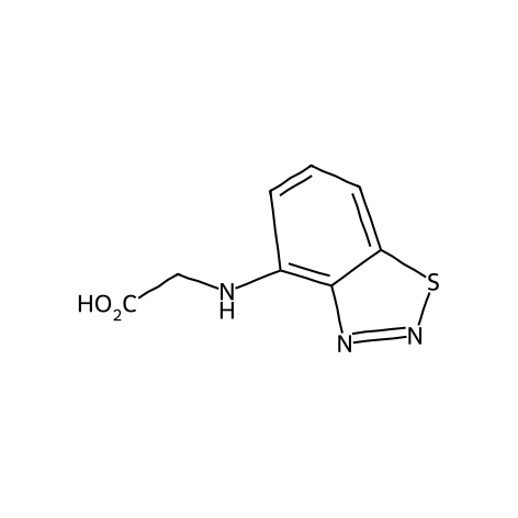 O=C(O)CNc1cccc2snnc12